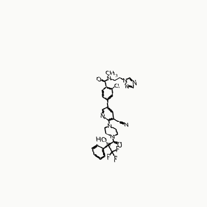 CN(CCn1cncn1)C(=O)c1ccc(-c2cnc(N3CCN(C(=O)[C@](O)(c4ccccc4)C(F)(F)F)CC3)c(C#N)c2)cc1Cl